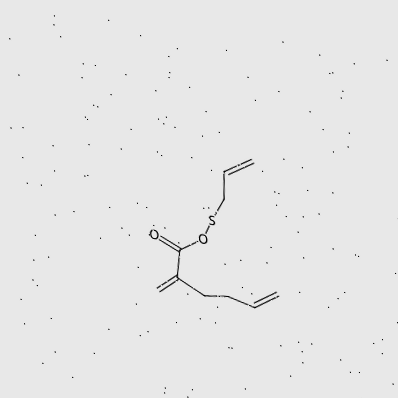 C=CCCC(=C)C(=O)OSCC=C